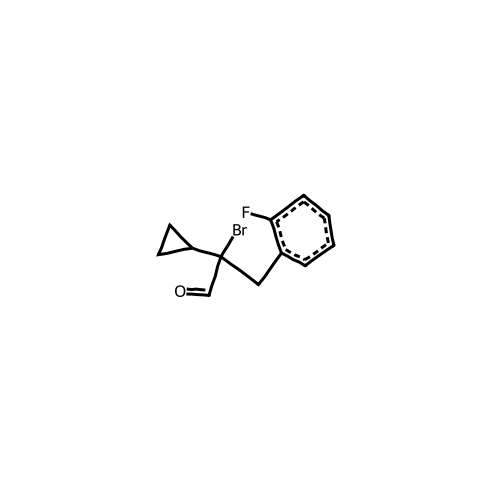 O=CC(Br)(Cc1ccccc1F)C1CC1